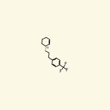 FC(F)(F)c1ccc(CCC[C@H]2C=CCCC2)cc1